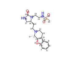 C[C@H]1c2oc3ccccc3c2CCN1CC[C@H]1CNC(=O)N1CCNS(C)(=O)=O